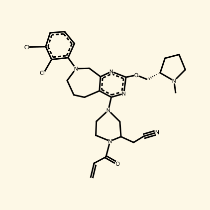 C=CC(=O)N1CCN(c2nc(OC[C@@H]3CCCN3C)nc3c2CCCN(c2cccc(Cl)c2Cl)C3)CC1CC#N